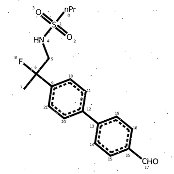 CCCS(=O)(=O)NCC(C)(F)c1ccc(-c2ccc(C=O)cc2)cc1